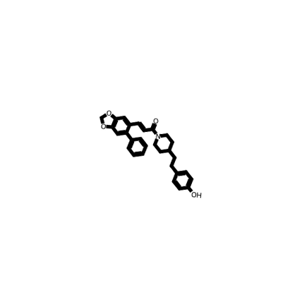 O=C(/C=C/c1cc2c(cc1-c1ccccc1)OCO2)N1CCC(CCc2ccc(O)cc2)CC1